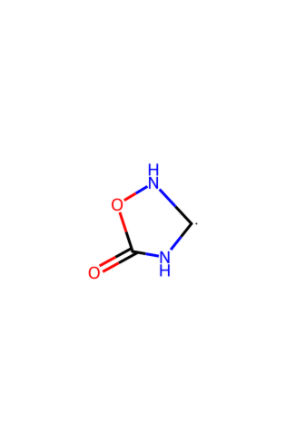 O=C1N[CH]NO1